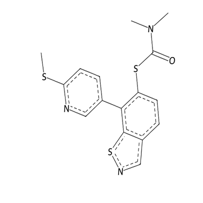 CSc1ccc(-c2c(SC(=O)N(C)C)ccc3cnsc23)cn1